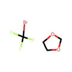 C1COCO1.FC(F)(F)Br